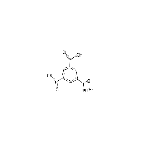 O=C(O)c1cc(C(=O)O)cc(C(=O)O)c1.[Sm]